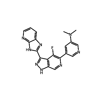 CN(C)c1cncc(-c2ncc3[nH]nc(-c4nc5cccnc5[nH]4)c3c2F)c1